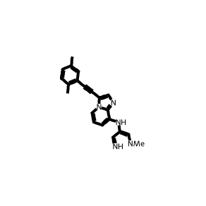 CN/C=C(\C=N)Nc1cccn2c(C#Cc3cc(C)ccc3C)cnc12